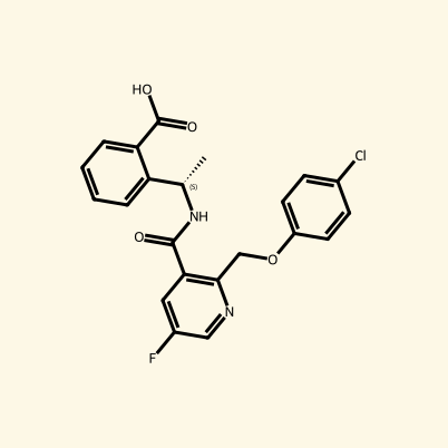 C[C@H](NC(=O)c1cc(F)cnc1COc1ccc(Cl)cc1)c1ccccc1C(=O)O